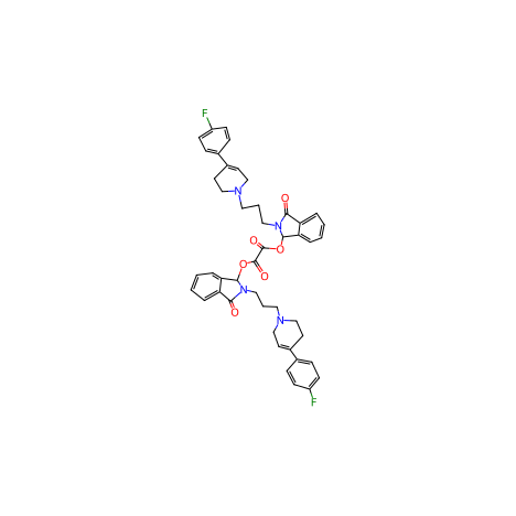 O=C(OC1c2ccccc2C(=O)N1CCCN1CC=C(c2ccc(F)cc2)CC1)C(=O)OC1c2ccccc2C(=O)N1CCCN1CC=C(c2ccc(F)cc2)CC1